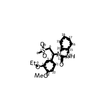 CCOc1cc(C(CS(C)(=O)=O)n2c(=O)[nH]c3ccccc32)ccc1OC